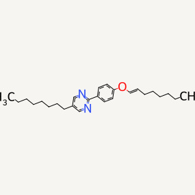 CCCCCCC=COc1ccc(-c2ncc(CCCCCCCC)cn2)cc1